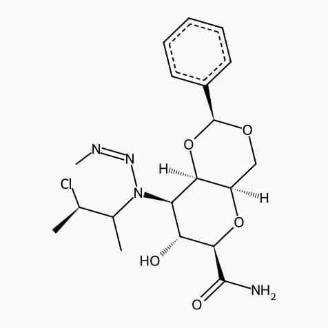 C/N=N\N(C(C)[C@@H](C)Cl)[C@@H]1[C@@H](O)[C@H](C(N)=O)O[C@@H]2CO[C@H](c3ccccc3)O[C@H]12